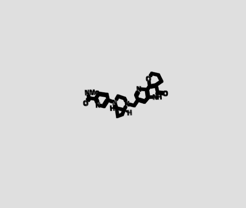 CNC(=O)c1ccc(N2CCN(Cc3cnc4c5c(c(=O)[nH]c4c3)CCCO5)[C@H]3CC[C@@H]32)cn1